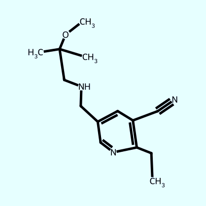 CCc1ncc(CNCC(C)(C)OC)cc1C#N